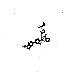 O=C(C1CC1)N1CC[C@@H](CN2C(=O)C3(CCCC3)N=C2c2ccc(-c3ccc4[nH]ccc4c3)cc2F)C1